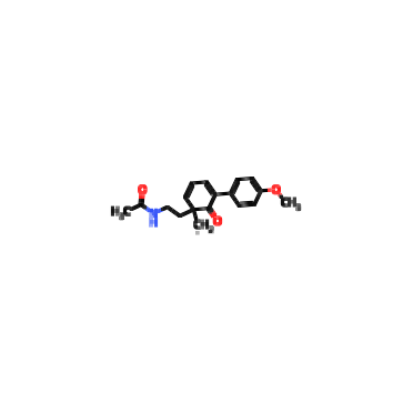 [CH2]C1(CCNC(C)=O)C=CC=C(c2ccc(OC)cc2)C1=O